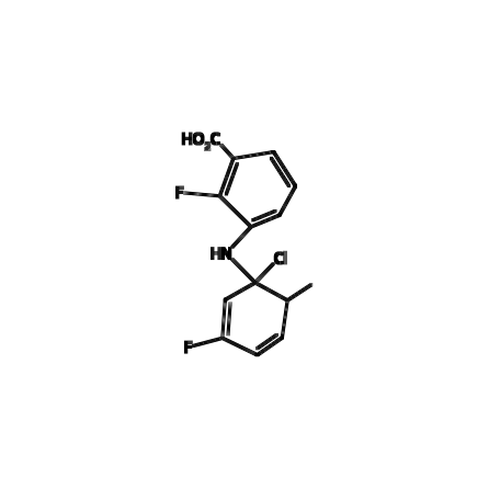 CC1C=CC(F)=CC1(Cl)Nc1cccc(C(=O)O)c1F